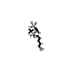 CC(C)(C)[Si](C)(C)O[C@@H](/C=C/C=C/Br)CC#C[Si](C)(C)C